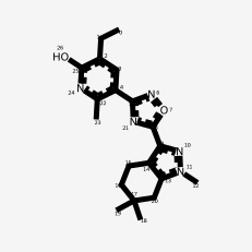 CCc1cc(-c2noc(-c3nn(C)c4c3CCC(C)(C)C4)n2)c(C)nc1O